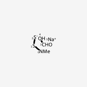 CNS[S-].O=CO.[Na+]